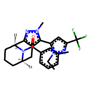 CCn1nc(C(F)(F)F)cc1-c1c2c(nn1C)[C@@H]1CCC[C@H](C2)N1C(=O)c1cccc(C)c1